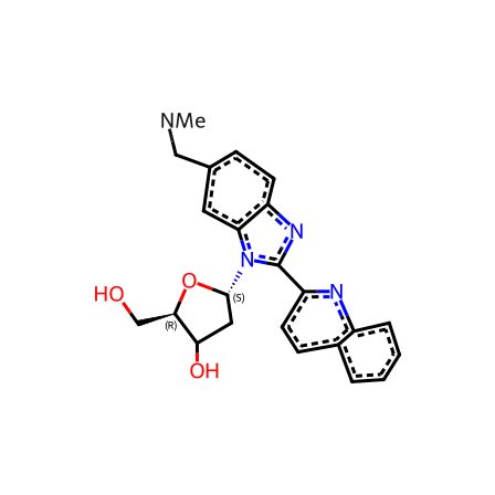 CNCc1ccc2nc(-c3ccc4ccccc4n3)n([C@@H]3CC(O)[C@@H](CO)O3)c2c1